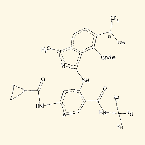 [2H]C([2H])([2H])NC(=O)c1cnc(NC(=O)C2CC2)cc1Nc1nn(C)c2ccc([C@@H](O)C(F)(F)F)c(OC)c12